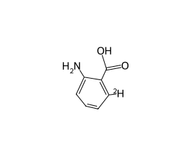 [2H]c1cccc(N)c1C(=O)O